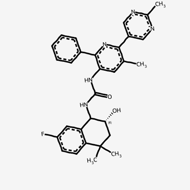 Cc1ncc(-c2nc(-c3ccccc3)c(NC(=O)NC3c4cc(F)ccc4C(C)(C)C[C@H]3O)cc2C)cn1